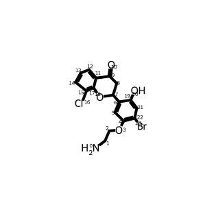 NCCOc1cc(C2CC(=O)c3cccc(Cl)c3O2)c(O)cc1Br